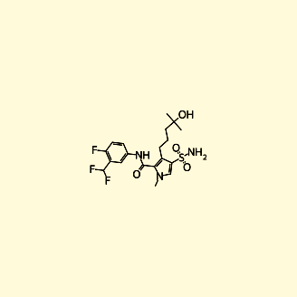 Cn1cc(S(N)(=O)=O)c(CCCC(C)(C)O)c1C(=O)Nc1ccc(F)c(C(F)F)c1